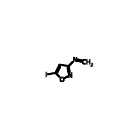 C=Nc1cc(I)on1